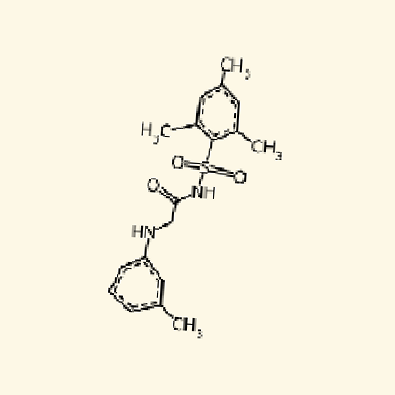 Cc1cccc(NCC(=O)NS(=O)(=O)c2c(C)cc(C)cc2C)c1